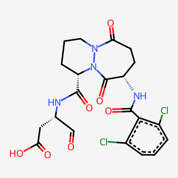 O=C[C@H](CC(=O)O)NC(=O)[C@@H]1CCCN2C(=O)CC[C@H](NC(=O)c3c(Cl)cccc3Cl)C(=O)N12